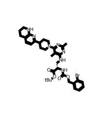 Cc1nc(NC[C@H](NC(=O)OCc2ccccc2Br)C(=O)OC(C)(C)C)c(C)c(N2CCC(c3ccc4c(n3)NCCC4)CC2)n1